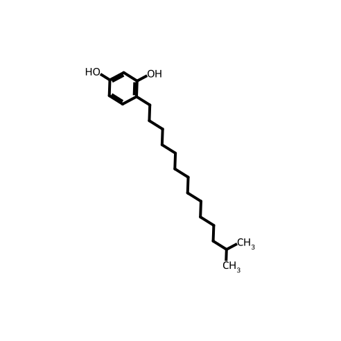 CC(C)CCCCCCCCCCCCc1ccc(O)cc1O